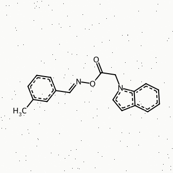 Cc1cccc(C=NOC(=O)Cn2ccc3ccccc32)c1